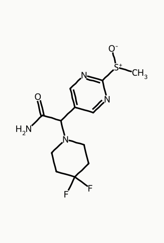 C[S+]([O-])c1ncc(C(C(N)=O)N2CCC(F)(F)CC2)cn1